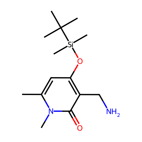 Cc1cc(O[Si](C)(C)C(C)(C)C)c(CN)c(=O)n1C